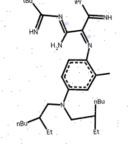 CCCCC(CC)CN(CC(CC)CCCC)c1ccc(/N=C(C(=N)C(C)C)\C(N)=N\C(=N)C(C)(C)C)c(C)c1